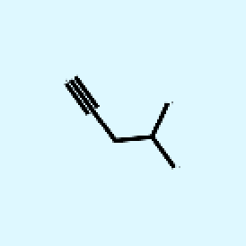 [C]#CCC([CH2])[CH2]